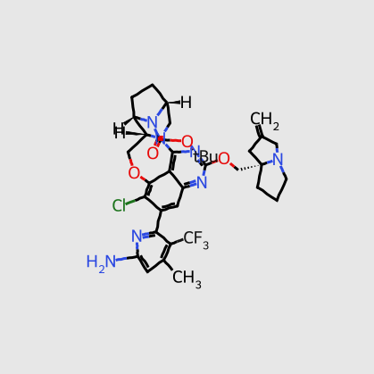 C=C1CN2CCC[C@@]2(COc2nc3c4c(c(Cl)c(-c5nc(N)cc(C)c5C(F)(F)F)cc4n2)OC[C@@H]2[C@@H]4CC[C@H](CN32)N4C(=O)OC(C)(C)C)C1